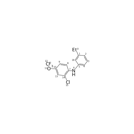 CCc1cccc(Nc2ccc(OC(F)(F)F)cc2Cl)c1